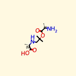 C[C@H](N)C(=O)OC(C)(C)CN[C@@H](C)C(=O)O